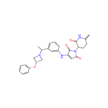 C=C1CCC(N2C(=O)C=C(Nc3cccc(C(C)N4CC(Oc5ccccc5)C4)c3)C2=O)C(=O)N1